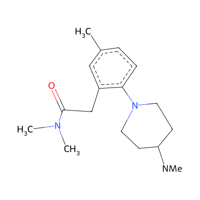 CNC1CCN(c2ccc(C)cc2CC(=O)N(C)C)CC1